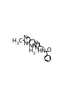 Cc1ncc(Cn2cc(CNC(=O)c3ccccc3)nn2)c(N)n1